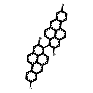 Sc1cc2ccc3c4ccc(Br)cc4cc4ccc(c1-c1c(S)cc5ccc6c7ccc(Br)cc7cc7ccc1c5c76)c2c43